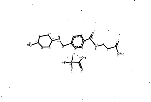 COC(=O)CCNC(=O)c1ccc(CNC2CCC(C(C)(C)C)CC2)cc1.O=C(O)C(F)(F)F